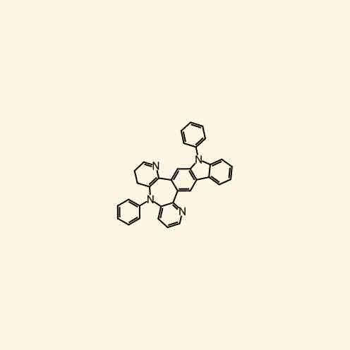 C1=NC2=C(CC1)N(c1ccccc1)c1cccnc1-c1cc3c4ccccc4n(-c4ccccc4)c3cc12